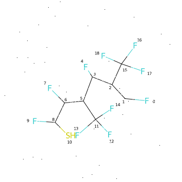 FCC(C(F)C(C(F)C(F)S)C(F)(F)F)C(F)(F)F